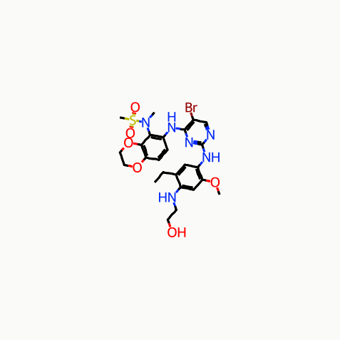 CCc1cc(Nc2ncc(Br)c(Nc3ccc4c(c3N(C)S(C)(=O)=O)OCCO4)n2)c(OC)cc1NCCO